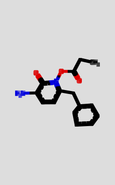 CCC(=O)On1c(Cc2ccccc2)ccc(N)c1=O